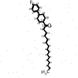 CCCCCCCCCCCCCCCC(=O)C1CCC(c2ccc(F)cc2)CC1